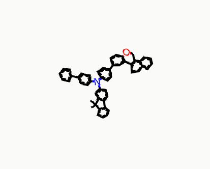 CC1(C)c2ccccc2-c2ccc(N(c3ccc(-c4ccccc4)cc3)c3ccc(-c4ccc5c(c4)-c4ccc6ccccc6c4CO5)cc3)cc21